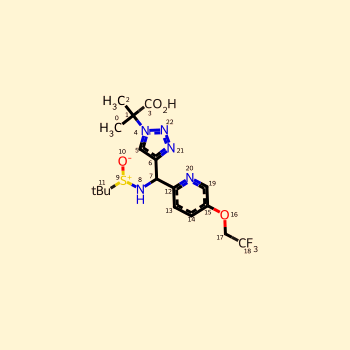 CC(C)(C(=O)O)n1cc(C(N[S+]([O-])C(C)(C)C)c2ccc(OCC(F)(F)F)cn2)nn1